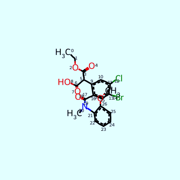 CCOC(=O)C(C(=O)O)c1cc(Cl)c(Br)cc1C(=O)N(C)c1ccccc1OC